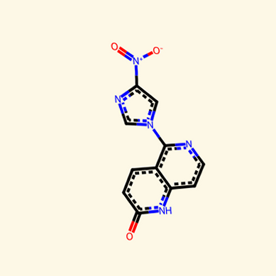 O=c1ccc2c(-n3cnc([N+](=O)[O-])c3)nccc2[nH]1